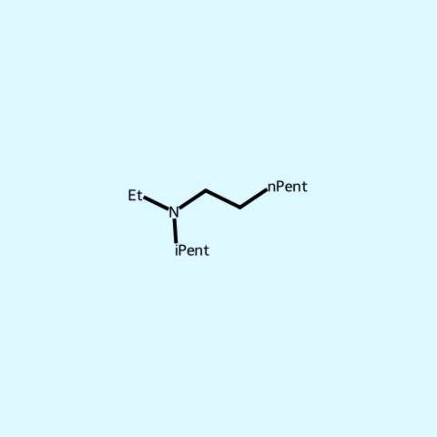 CCCCCCCN(CC)C(C)CCC